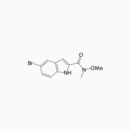 CON(C)C(=O)c1cc2cc(Br)ccc2[nH]1